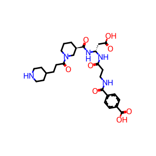 O=C(O)C[C@H](NC(=O)CCNC(=O)c1ccc(C(=O)O)cc1)NC(=O)[C@@H]1CCCN(C(=O)CCC2CCNCC2)C1